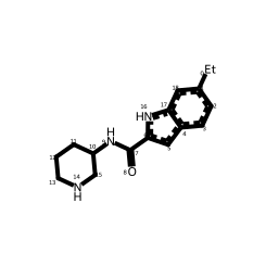 CCc1ccc2cc(C(=O)NC3CCCNC3)[nH]c2c1